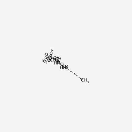 CCCCCCCCC=CCCCCCCCC(=O)NCCOCCNC(=O)C[C@H](O)C[C@H](O)CCn1c(-c2ccc(F)cc2)c(-c2ccccc2)c(C(=O)Nc2ccccc2)c1C(C)C